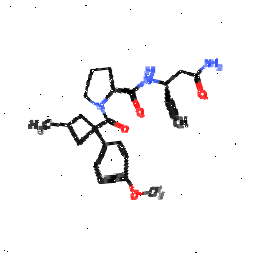 C#C[C@H](CC(N)=O)NC(=O)[C@@H]1CCCN1C(=O)C1(c2ccc(OC(F)(F)F)cc2)CC(C)C1